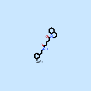 COc1cccc(CCNC(=O)CCCC(=O)N2CCCC3CCCCC32)c1